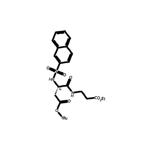 CCOC(=O)CCNC(=O)[C@H](CC(=O)OC(C)(C)C)NS(=O)(=O)c1ccc2ccccc2c1